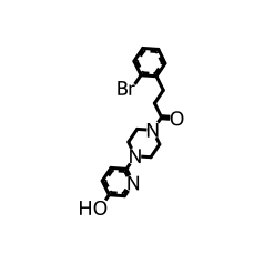 O=C(CCc1ccccc1Br)N1CCN(c2ccc(O)cn2)CC1